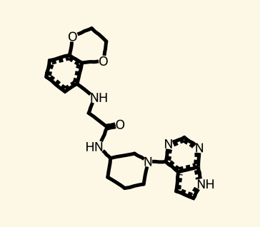 O=C(CNc1cccc2c1OCCO2)NC1CCCN(c2ncnc3[nH]ccc23)C1